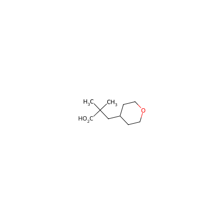 CC(C)(CC1CCOCC1)C(=O)O